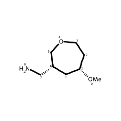 CO[C@H]1CCOC[C@@H](CN)C1